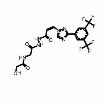 O=C(/C=C\n1cnc(-c2cc(C(F)(F)F)cc(C(F)(F)F)c2)n1)NNC(=O)CNC(=O)CO